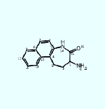 NC1CCc2c(ccc3ccccc23)NC1=O